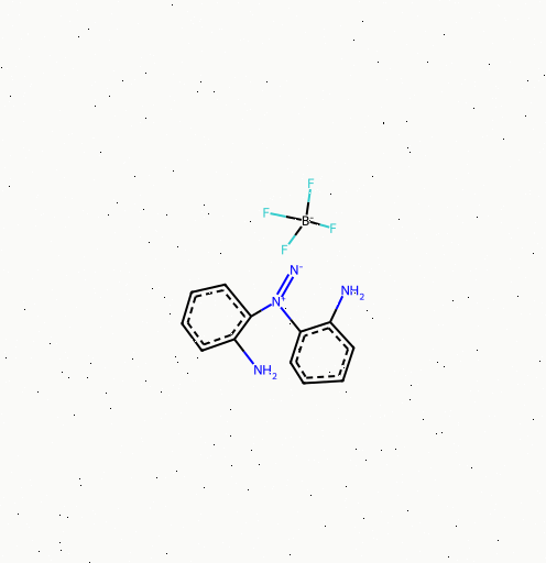 F[B-](F)(F)F.[N-]=[N+](c1ccccc1N)c1ccccc1N